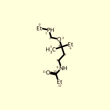 CCPCOC(C)(CC)CCNC(=O)CC